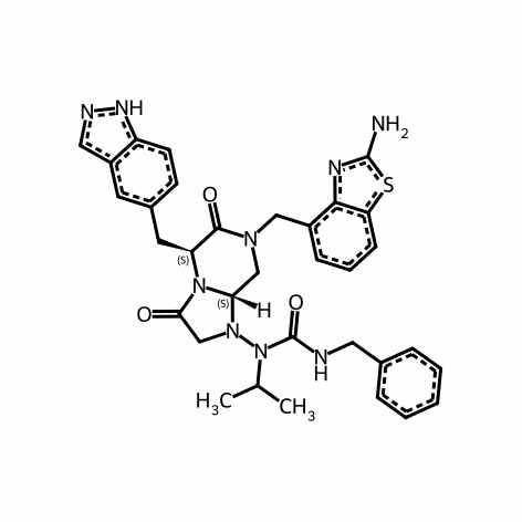 CC(C)N(C(=O)NCc1ccccc1)N1CC(=O)N2[C@@H](Cc3ccc4[nH]ncc4c3)C(=O)N(Cc3cccc4sc(N)nc34)C[C@@H]21